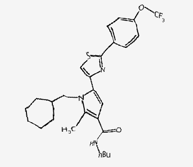 CCCCNC(=O)c1cc(-c2csc(-c3ccc(OC(F)(F)F)cc3)n2)n(CC2CCCCC2)c1C